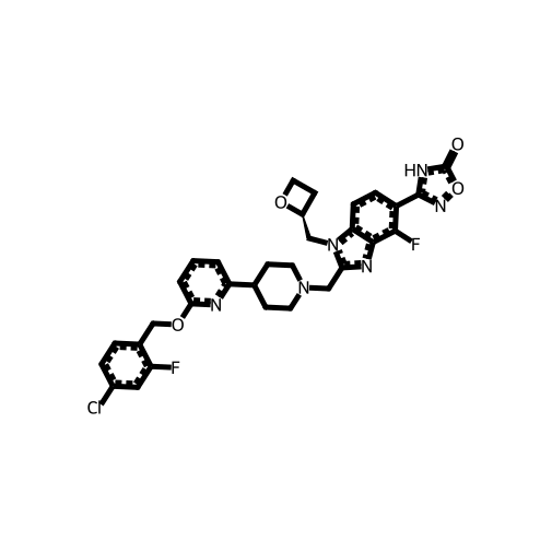 O=c1[nH]c(-c2ccc3c(nc(CN4CCC(c5cccc(OCc6ccc(Cl)cc6F)n5)CC4)n3C[C@@H]3CCO3)c2F)no1